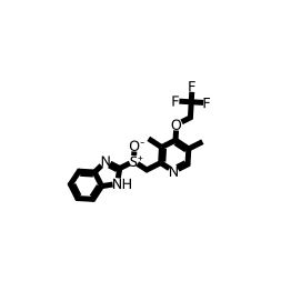 Cc1cnc(C[S+]([O-])c2nc3ccccc3[nH]2)c(C)c1OCC(F)(F)F